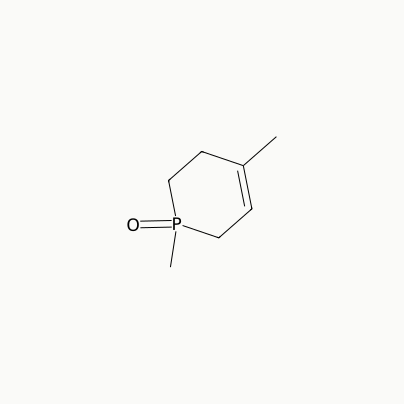 CC1=CCP(C)(=O)CC1